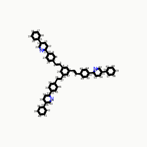 C(=C\c1cc(/C=C/c2ccc(-c3ccc(-c4ccccc4)cn3)cc2)cc(/C=C/c2ccc(-c3ccc(-c4ccccc4)cn3)cc2)c1)/c1ccc(-c2ccc(-c3ccccc3)cn2)cc1